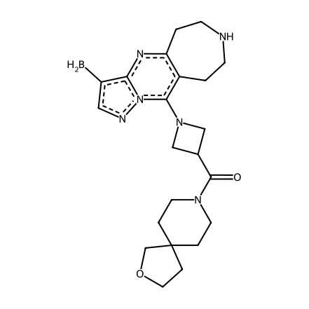 Bc1cnn2c(N3CC(C(=O)N4CCC5(CCOC5)CC4)C3)c3c(nc12)CCNCC3